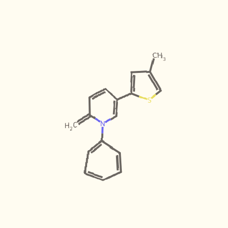 C=C1C=CC(c2cc(C)cs2)=CN1c1ccccc1